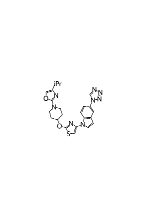 CC(C)c1coc(N2CCC(Oc3nc(-n4ccc5cc(-n6cnnn6)ccc54)cs3)CC2)n1